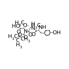 CN[C@@H](Cc1ccc(O)cc1)C(=O)N[C@@H](COC)C(=O)N(CC(=O)O)C(=O)OC(C)(C)C